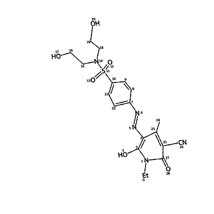 CCn1c(O)c(N=Nc2ccc(S(=O)(=O)N(CCO)CCO)cc2)c(C)c(C#N)c1=O